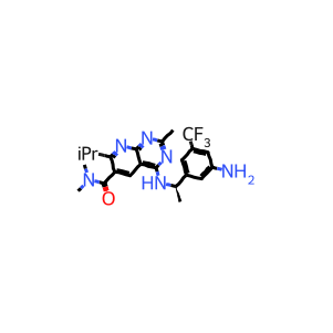 Cc1nc(N[C@H](C)c2cc(N)cc(C(F)(F)F)c2)c2cc(C(=O)N(C)C)c(C(C)C)nc2n1